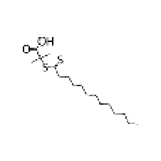 CCCCCCCCCCCCC(=S)SC(C)(C)C(=O)O